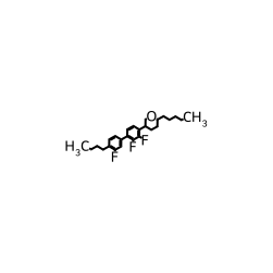 CCCCCC1CCC(c2ccc(-c3ccc(CCCC)c(F)c3)c(F)c2F)CO1